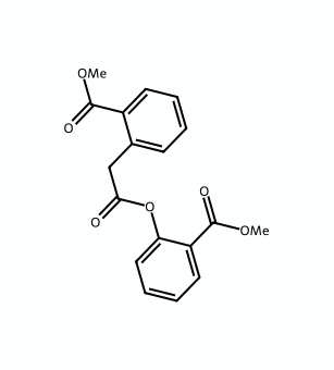 COC(=O)c1ccccc1CC(=O)Oc1ccccc1C(=O)OC